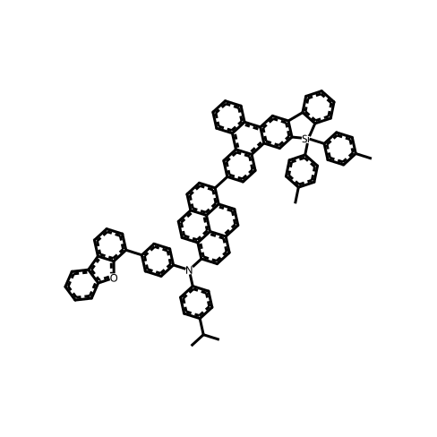 Cc1ccc([Si]2(c3ccc(C)cc3)c3ccccc3-c3cc4c5ccccc5c5cc(-c6ccc7ccc8c(N(c9ccc(-c%10cccc%11c%10oc%10ccccc%10%11)cc9)c9ccc(C(C)C)cc9)ccc9ccc6c7c98)ccc5c4cc32)cc1